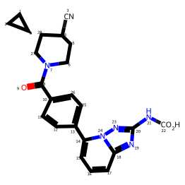 C1CC1.N#CC1CCN(C(=O)c2ccc(-c3cccc4nc(NC(=O)O)nn34)cc2)CC1